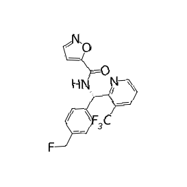 O=C(N[C@@H](c1ccc(CF)cc1)c1ncccc1C(F)(F)F)c1ccno1